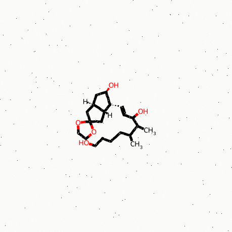 CC(CCCCO)C(C)C(O)C=C[C@@H]1[C@@H]2CC3(C[C@H]2C[C@H]1O)OCCO3